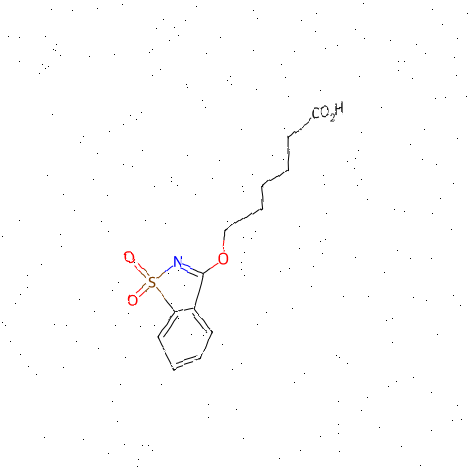 O=C(O)CCCCCOC1=NS(=O)(=O)c2ccccc21